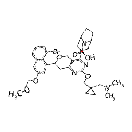 COCOc1cc(C2Cc3nc(OCC4(CN(C)C)CC4)nc(N4CC5CCC(C4)N5C(=O)O)c3CO2)c2c(Br)cccc2c1